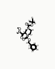 CON(C)C(=O)C1CN(C(=O)OC(C)(C)C)CCN1C(=O)OCc1ccccc1